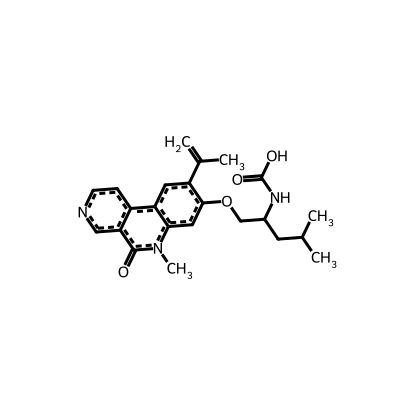 C=C(C)c1cc2c3ccncc3c(=O)n(C)c2cc1OCC(CC(C)C)NC(=O)O